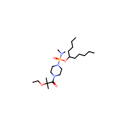 CCCCCC(CCCC)OP(=O)(N(C)C)N1CCN(C(=O)C(C)(C)OCC)CC1